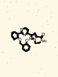 O=C1NCCn2nc(-c3ccnc(-c4ccccc4OCc4ccccc4Cl)n3)cc21